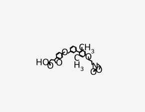 Cc1cc(OCCCN2CCOC2=O)cc(C)c1-c1cccc(COc2ccc3c(c2)OCC3CC(=O)O)c1